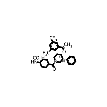 C[C@H](O[C@H]1CCN(C(=O)C2CCC(NC(=O)O)CC2)C[C@H]1c1ccccc1)c1cc(C(F)(F)F)cc(C(F)(F)F)c1